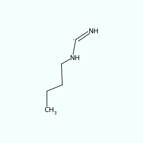 CCCCN[C]=N